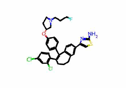 Nc1nc(-c2ccc3c(c2)CCCC(c2ccc(Cl)cc2Cl)=C3c2ccc(O[C@H]3CCN(CCCF)C3)cc2)cs1